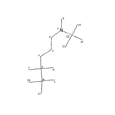 CN(CCCC(C)(C)C(C)(C)C)C(C)(C)C